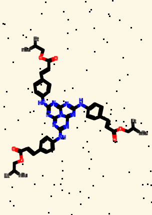 CCCCC(CC)COC(=O)C=Cc1ccc(NC2=NC3=NC(Nc4ccc(C=CC(=O)OCC(CC)CCCC)cc4)=NC4=NC(Nc5ccc(C=CC(=O)OCC(CC)CCCC)cc5)=NC(=N2)N34)cc1